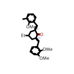 CCC1C/C(=C\c2cccc(C)c2OC)C(=O)/C(=C/c2cccc(OC)c2OC)C1